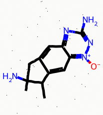 CC1c2cc3c(cc2CC1(C)N)nc(N)n[n+]3[O-]